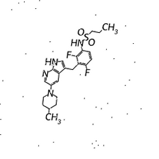 CCCS(=O)(=O)Nc1ccc(F)c(Cc2c[nH]c3ncc(N4CCC(C)CC4)cc23)c1F